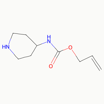 C=CCOC(=O)NC1CCNCC1